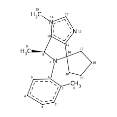 Cc1ccccc1N1[C@@H](C)c2c(ncn2C)C12CCCC2